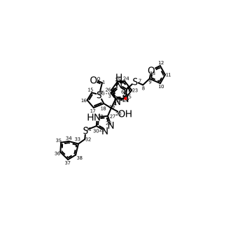 O=C[S@]1(c2nnc(SCc3ccco3)[nH]2)C=CC=C1C(O)(c1ccccc1)c1nnc(SCc2ccccc2)[nH]1